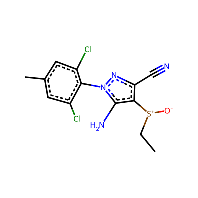 CC[S+]([O-])c1c(C#N)nn(-c2c(Cl)cc(C)cc2Cl)c1N